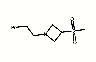 CC(C)CCN1CC(S(C)(=O)=O)C1